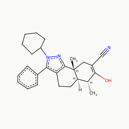 C[C@H]1C(O)=C(C#N)C[C@@]2(C)c3nn(C4CCCCC4)c(-c4ccccc4)c3CC[C@H]12